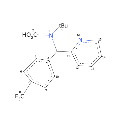 CC(C)(C)N(C(=O)O)C(c1ccc(C(F)(F)F)cc1)c1ccccn1